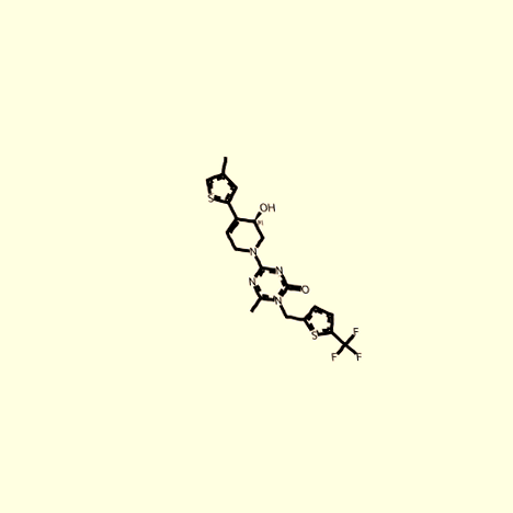 Cc1csc(C2=CCN(c3nc(C)n(Cc4ccc(C(F)(F)F)s4)c(=O)n3)C[C@@H]2O)c1